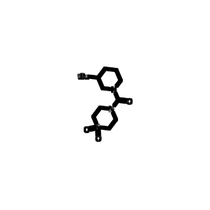 CC(C)(C)C1CCCN(C(=O)N2CCS(=O)(=O)CC2)C1